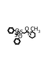 CC1CCCCN1C(=O)CSP(=S)(Oc1ccccc1)Oc1ccccc1